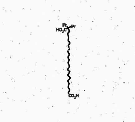 CC(C)C(CCCCCCCCCCCCCCCCCCCCCCC(=O)O)(C(=O)O)C(C)C